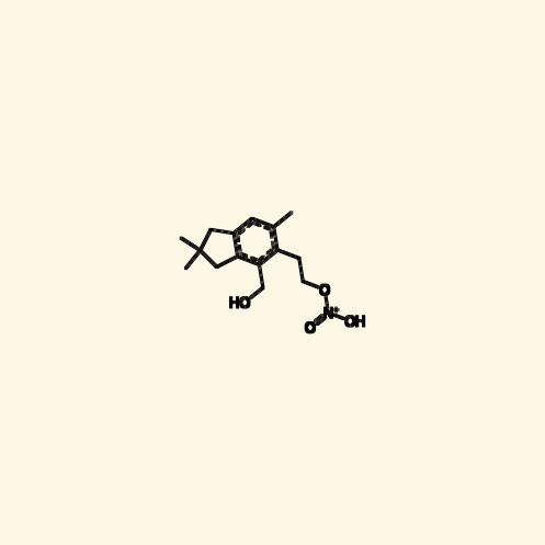 Cc1cc2c(c(CO)c1CCO[N+](=O)O)CC(C)(C)C2